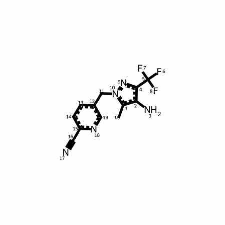 Cc1c(N)c(C(F)(F)F)nn1Cc1ccc(C#N)nc1